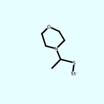 C[CH]SC(C)N1CCOCC1